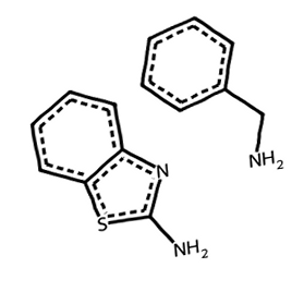 NCc1ccccc1.Nc1nc2ccccc2s1